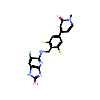 Cn1ccc(-c2cc(F)c(CNc3nc4nc(O)[nH]c4cc3Cl)c(F)c2)cc1=O